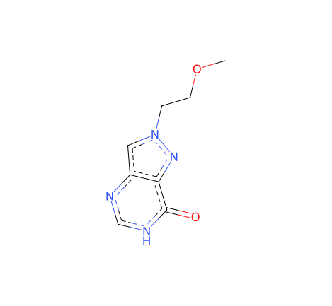 COCCn1cc2nc[nH]c(=O)c2n1